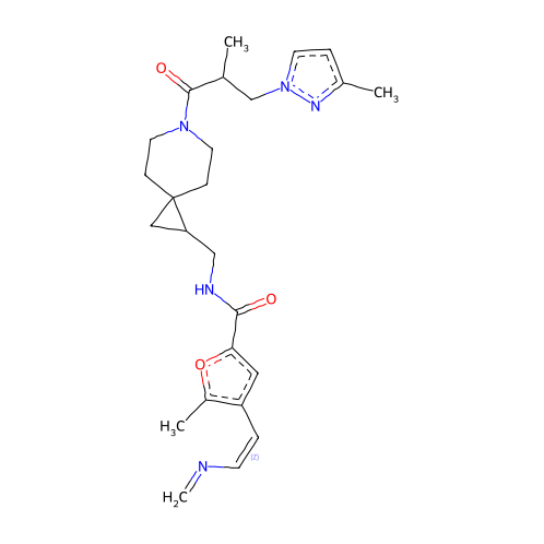 C=N/C=C\c1cc(C(=O)NCC2CC23CCN(C(=O)C(C)Cn2ccc(C)n2)CC3)oc1C